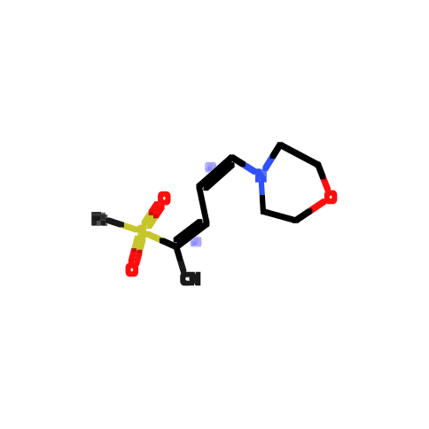 CCS(=O)(=O)/C(C#N)=C\C=C/N1CCOCC1